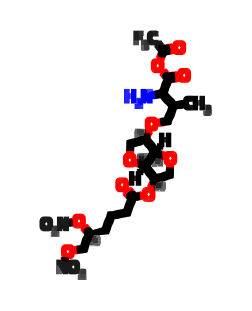 CC(CO[C@@H]1CO[C@H]2[C@@H]1OC[C@H]2OC(=O)CCC[C@@H](CO[N+](=O)[O-])O[N+](=O)[O-])C(N)C(=O)OC(=O)C(F)(F)F